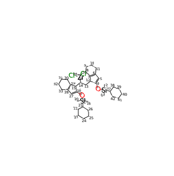 C[Si](C)(OC1=CC2=C(CCCC2)C1C[CH](C1C(O[Si](C)(C)C2CCCCC2)=CC2=C1CCCC2)[Zr]([Cl])[Cl])C1CCCCC1